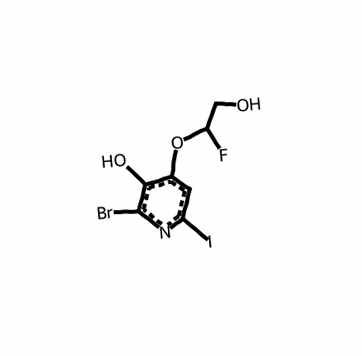 OCC(F)Oc1cc(I)nc(Br)c1O